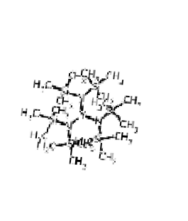 C[Si](C)(C)[N]([Y]([N]([Si](C)(C)C)[Si](C)(C)C)[N]([Si](C)(C)C)[Si](C)(C)C)[Si](C)(C)C